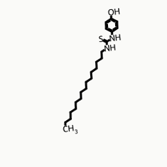 CCCCCCCCCCCCCCCCNC(=S)Nc1ccc(O)cc1